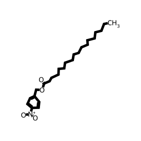 CCCCCCCCCCCCCCCCCC(=O)OCc1ccc([N+](=O)[O-])cc1